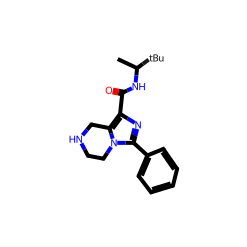 CC(NC(=O)c1nc(-c2ccccc2)n2c1CNCC2)C(C)(C)C